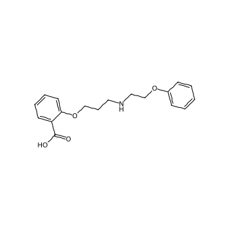 O=C(O)c1ccccc1OCCCNCCOc1ccccc1